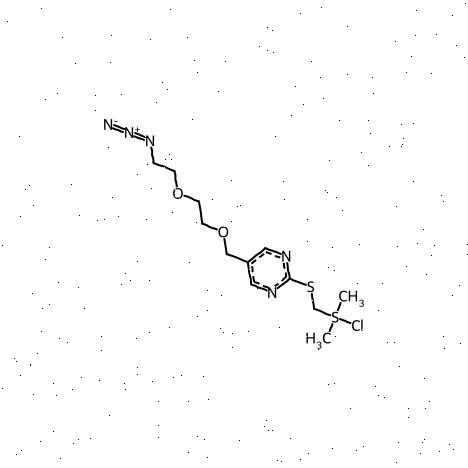 CS(C)(Cl)CSc1ncc(COCCOCCN=[N+]=[N-])cn1